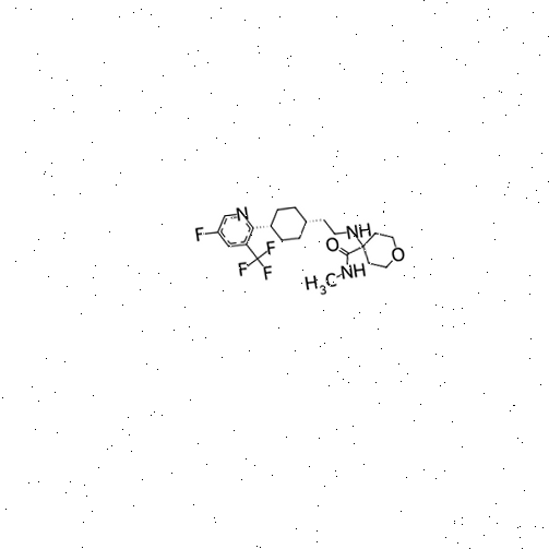 CNC(=O)C1(NCC[C@H]2CC[C@@H](c3ncc(F)cc3C(F)(F)F)CC2)CCOCC1